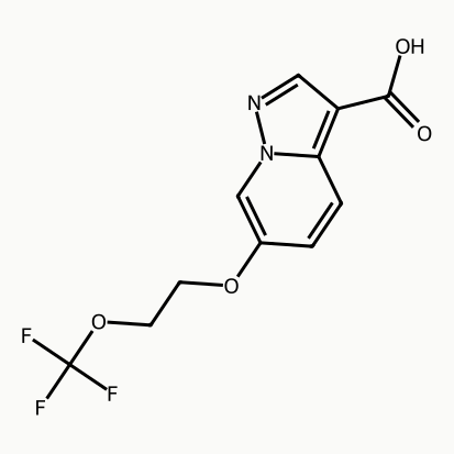 O=C(O)c1cnn2cc(OCCOC(F)(F)F)ccc12